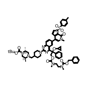 Cc1ccc(S(=O)(=O)n2ccc3c(-c4ccc5nc(N6CCC(CN7C[C@@H](C)N(C(=O)OC(C)(C)C)C[C@@H]7C)CC6)nc(C(COC(=O)N(C)CCN(C)C(=O)OCc6ccccc6)(OC6CC6)c6ccccc6)c5c4)cn(C)c(=O)c32)cc1